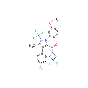 COc1cccc(-n2c(C(=O)N3CC(F)(F)C3)c(-c3ccc(Cl)cc3)c(C)c2C(F)(F)F)c1